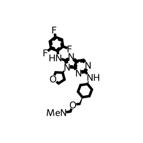 CNCOC[C@H]1CC[C@H](Nc2ncc3nc(Nc4c(F)cc(F)cc4F)n([C@H]4CCOC4)c3n2)CC1